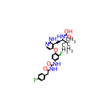 CC(C)(C)C(C#Cc1c(Oc2ccc(NC(=O)NC(=O)Cc3ccc(F)cc3)cc2F)ccnc1N)NC(=O)O